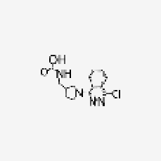 O=C(O)NCC1CCN(c2nnc(Cl)c3ccccc23)C1